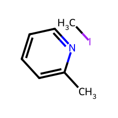 CI.Cc1ccccn1